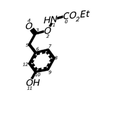 CCOC(=O)NOC(=O)Cc1cccc(O)c1